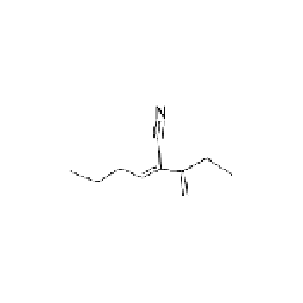 C=C(CC)/C(C#N)=C/CCC